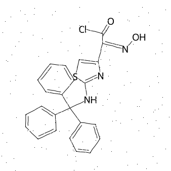 O=C(Cl)C(=NO)c1csc(NC(c2ccccc2)(c2ccccc2)c2ccccc2)n1